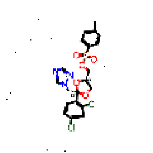 Cc1ccc(S(=O)(=O)OC[C@H]2CO[C@@](Cn3cncn3)(c3ccc(Cl)cc3Cl)O2)cc1